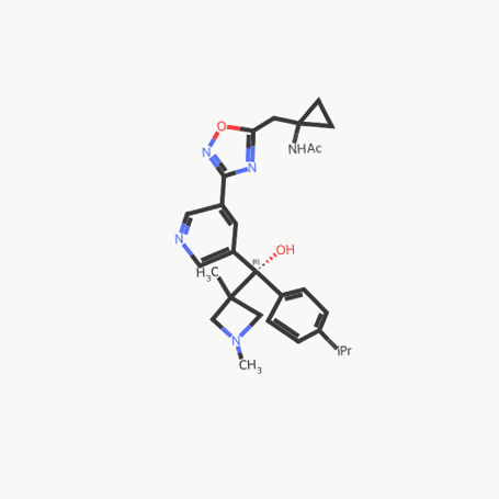 CC(=O)NC1(Cc2nc(-c3cncc([C@@](O)(c4ccc(C(C)C)cc4)C4(C)CN(C)C4)c3)no2)CC1